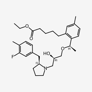 CCOC(=O)CCCCc1cc(C)ccc1[C@@H](C)OC[C@H](O)CN1CCC[C@H]1Cc1ccc(C)c(F)c1